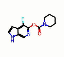 O=C(Oc1ncc2[nH]ccc2c1F)N1CCCCC1